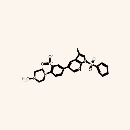 CN1CCN(c2ccc(-c3cnc4c(c3)c(I)cn4S(=O)(=O)c3ccccc3)cc2[N+](=O)[O-])CC1